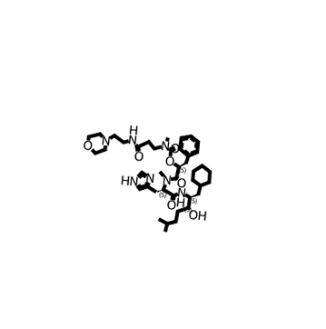 CC(C)CC[C@H](O)[C@H](CC1CCCCC1)NC(=O)[C@H](Cc1c[nH]cn1)N(C)C(=O)[C@H](Cc1ccccc1)OC(=O)N(C)CCC(=O)NCCN1CCOCC1